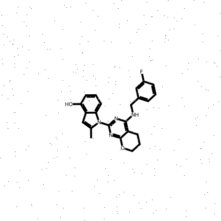 Cc1cc2c(O)cccc2n1-c1nc(NCc2cccc(F)c2)c2c(n1)OCCC2